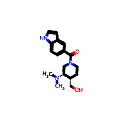 CN(C)[C@@H]1CN(C(=O)c2ccc3[nH]ccc3c2)CC[C@@H]1CO